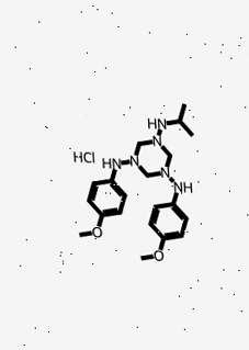 COc1ccc(NN2CN(Nc3ccc(OC)cc3)CN(NC(C)C)C2)cc1.Cl